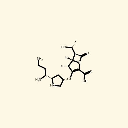 C[C@@H](O)[C@H]1C(=O)N2C(C(=O)O)=C(S[C@@H]3CN[C@H](C(N)CCN)C3)[C@H](C)[C@H]12